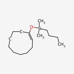 CCCC[Si](C)(C)O/C1=C/CCCCCCCC1